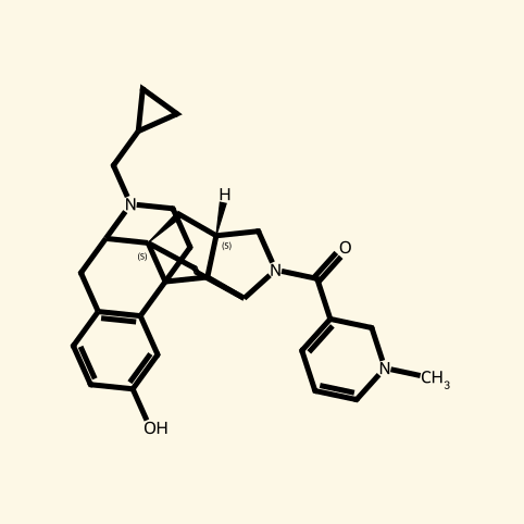 CN1C=CC=C(C(=O)N2C[C@H]3C[C@@]45CCC2C3C42CCN(CC3CC3)C5Cc3ccc(O)cc32)C1